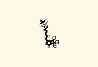 CC(C)(C)[Si](C)(C)OCCCCCC1CCC2C1C(=O)C2(Cl)Cl